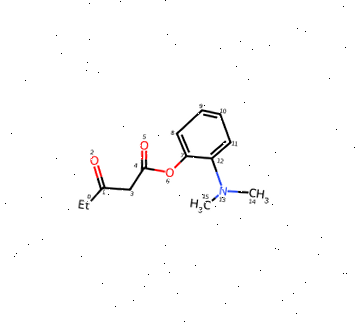 CCC(=O)CC(=O)Oc1ccccc1N(C)C